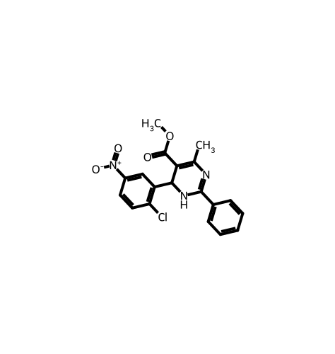 COC(=O)C1=C(C)N=C(c2ccccc2)NC1c1cc([N+](=O)[O-])ccc1Cl